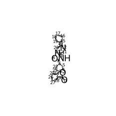 O=C1O[C@]2(CC[C@H](C(=O)Nc3cnc(-c4ccccc4)cn3)CC2)c2ccccc21